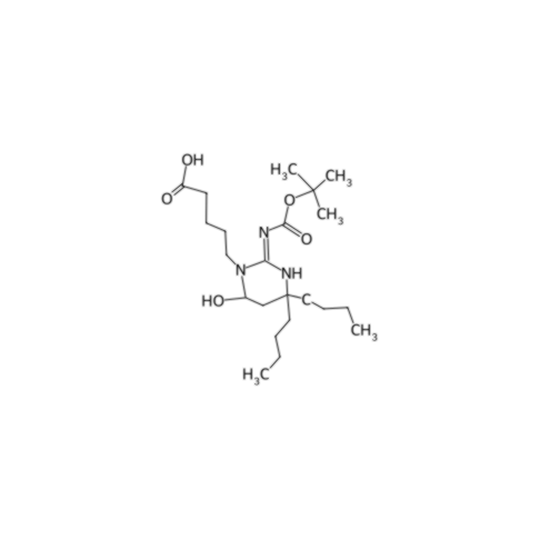 CCCCC1(CCCC)CC(O)N(CCCCC(=O)O)/C(=N/C(=O)OC(C)(C)C)N1